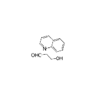 O=CCCO.c1ccc2ncccc2c1